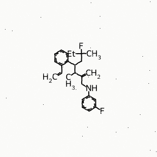 C=Cc1ccccc1C(CC(C)(F)CC)C(C)C(=C)CNc1cccc(F)c1